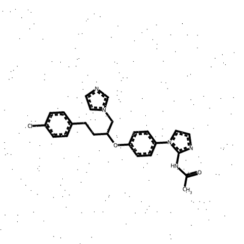 CC(=O)Nc1nccn1-c1ccc(OC(CCc2ccc(Cl)cc2)Cn2ccnc2)cc1